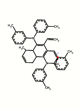 C=CC1=C(N(c2cccc(C)c2)c2cccc(C)c2)C2C(C)C=CCC2C(N(c2cccc(C)c2)c2cccc(C)c2)=C1/C=C\C